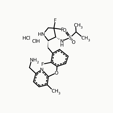 Cc1ccc(CN)nc1Oc1cccc(C[C@@H]2NCC(F)(F)[C@@H]2NS(=O)(=O)C(C)C)c1F.Cl.Cl